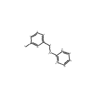 Cc1cccc(COc2ncccn2)c1